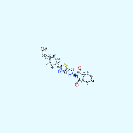 O=C1c2ccccc2C(=O)N1NCc1cnc(-c2ccc(C3COC3)cc2)s1